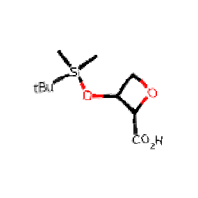 CC(C)(C)[Si](C)(C)OC1COC1C(=O)O